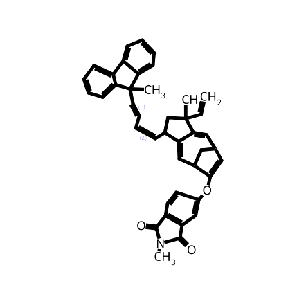 C=CC1(C)CC(/C=C\C=C\C2(C)c3ccccc3-c3ccccc32)C2=CC3CC(C=C3Oc3ccc4c(c3)C(=O)N(C)C4=O)C=C21